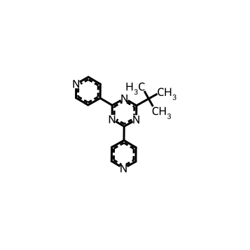 CC(C)(C)c1nc(-c2ccncc2)nc(-c2ccncc2)n1